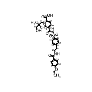 CCOc1ccc(C(=O)NCCc2ccc(S(=O)(=O)NC(=O)C3=CC=C(C(=O)O)N(CC(C)(C)CO)C3)cc2)cc1